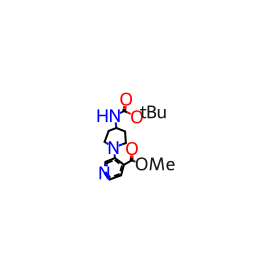 COC(=O)c1ccncc1N1CCC(NC(=O)OC(C)(C)C)CC1